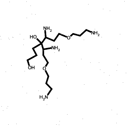 NCCCOCCC(N)C(O)(CCCO)C(N)CCOCCCN